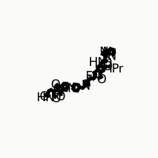 CC(C)Oc1cc2c(cc1NC(=O)c1cnn3cccnc13)CN(C[C@@H](F)C1CN(CC3CCN(c4ccc5c(c4)C(=O)N(C4CCC(=O)NC4=O)C5=O)CC3)C1)C2=O